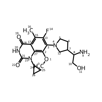 COc1c(N2CCC(C(N)CO)C2)c(F)c(C)c2c(=O)[nH]c(=O)n(C3CC3)c12